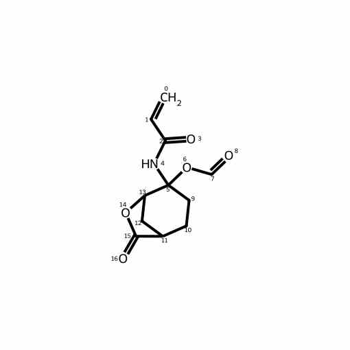 C=CC(=O)NC1(OC=O)CCC2CC1OC2=O